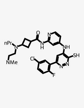 CCCN(CCNC)C1CC(C(=O)Nc2cc(Nc3cc(-c4cc(Cl)ccc4F)nnc3S)ccn2)C1